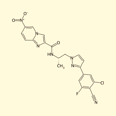 C[C@@H](Cn1ccc(-c2cc(F)c(C#N)c(Cl)c2)n1)NC(=O)c1cn2cc([N+](=O)[O-])ccc2n1